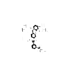 COC(=O)c1cccc(C(=O)Oc2cc(C)c(C(C)c3cc(C)c(C)cc3C)cc2C)c1